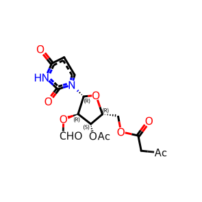 CC(=O)CC(=O)OC[C@H]1O[C@@H](n2ccc(=O)[nH]c2=O)[C@H](OC=O)[C@H]1OC(C)=O